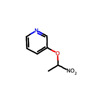 CC(Oc1cccnc1)[N+](=O)[O-]